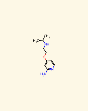 CC(C)NCCOc1ccnc(N)c1